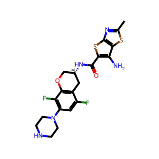 Cc1nc2sc(C(=O)N[C@H]3COc4c(F)c(N5CCNCC5)cc(F)c4C3)c(N)c2s1